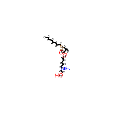 CCCCCCCCSCC(C)C(=O)OCCCCCNCCO